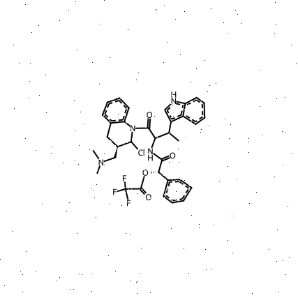 CC(c1c[nH]c2ccccc12)C(NC(=O)[C@@H](OC(=O)C(F)(F)F)c1ccccc1)C(=O)N1c2ccccc2C[C@H](CN(C)C)C1Cl